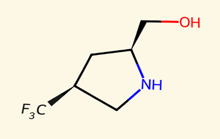 OC[C@@H]1C[C@H](C(F)(F)F)CN1